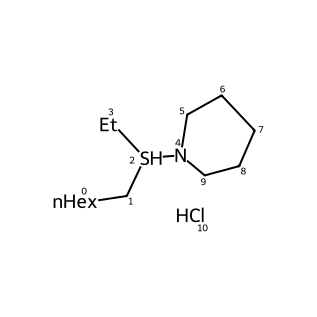 CCCCCCC[SH](CC)N1CCCCC1.Cl